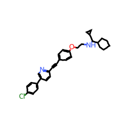 Clc1ccc(-c2ccc(C#Cc3ccc(OCCNC(C4CCCCC4)C4CC4)cc3)nc2)cc1